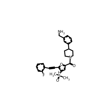 C[SH](C)(=O)c1cc(C(=O)N2CCC(c3cccc(CN)c3)CC2)oc1C#Cc1ccccc1F